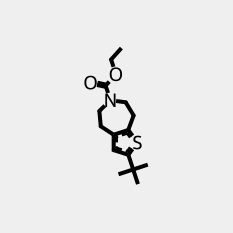 CCOC(=O)N1CCc2cc(C(C)(C)C)sc2CC1